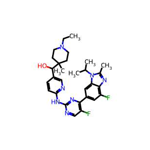 CCN1CCC(C)(C(O)c2ccc(Nc3ncc(F)c(-c4cc(F)c5nc(C)n(C(C)C)c5c4)n3)nc2)CC1